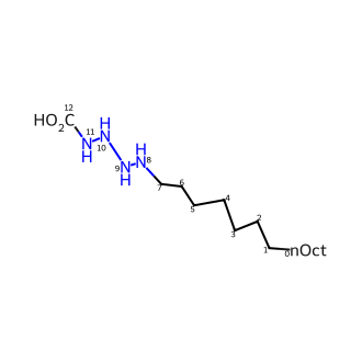 CCCCCCCCCCCCCCCNNNNC(=O)O